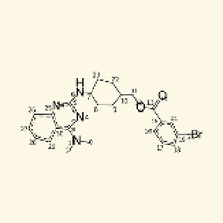 CN(C)c1nc(NC2CCC(COC(=O)c3cccc(Br)c3)CC2)nc2ccccc12